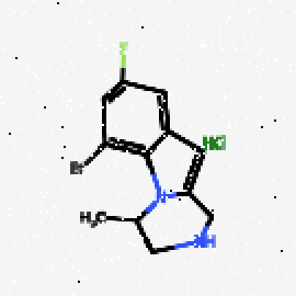 CCc1cc(F)cc2cc3n(c12)C(C)CNC3.Cl